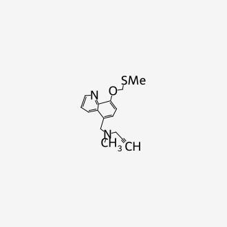 C#CCN(C)Cc1ccc(OCSC)c2ncccc12